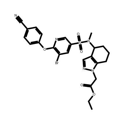 CCOC(=O)Cn1ncc2c1CCCC2N(C)S(=O)(=O)c1cnc(Oc2ccc(C#N)cc2)c(Br)c1